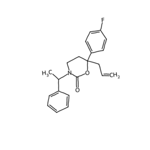 C=CCC1(c2ccc(F)cc2)CCN(C(C)c2ccccc2)C(=O)O1